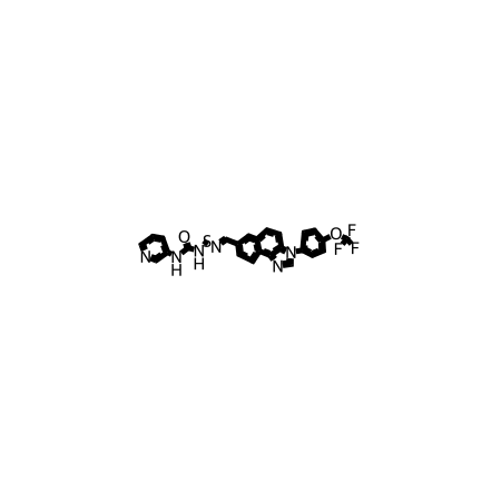 O=C(NS/N=C/c1ccc2c(ccc3c2ncn3-c2ccc(OC(F)(F)F)cc2)c1)Nc1cccnc1